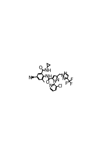 Cc1cc(C#N)cc(C(=O)NC2CC2)c1NC(=O)c1cc(Cn2ncc(C(F)(F)F)n2)nn1-c1ncccc1Cl